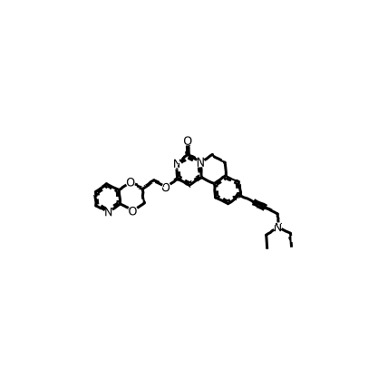 CCN(CC)CC#Cc1ccc2c(c1)CCn1c-2cc(OCC2COc3ncccc3O2)nc1=O